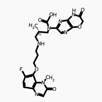 C[C@@H](CNCCCOc1c(F)ccc2ncc(=O)n(C)c12)CN(C(=O)O)c1cnc2c(n1)NC(=O)CO2